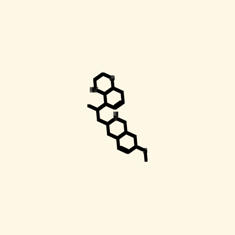 CSC1C=CC2CC(CC(C)C3C=CCC4OCCNC43)NCC2C1